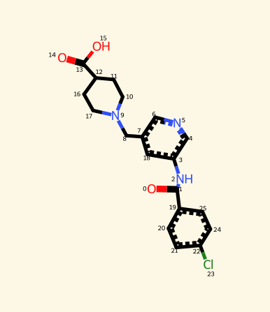 O=C(Nc1cncc(CN2CCC(C(=O)O)CC2)c1)c1ccc(Cl)cc1